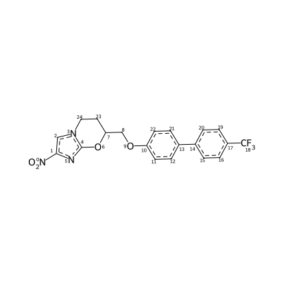 O=[N+]([O-])c1cn2c(n1)OC(COc1ccc(-c3ccc(C(F)(F)F)cc3)cc1)CC2